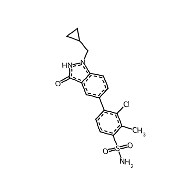 Cc1c(S(N)(=O)=O)ccc(-c2ccc3c(c2)c(=O)[nH]n3CC2CC2)c1Cl